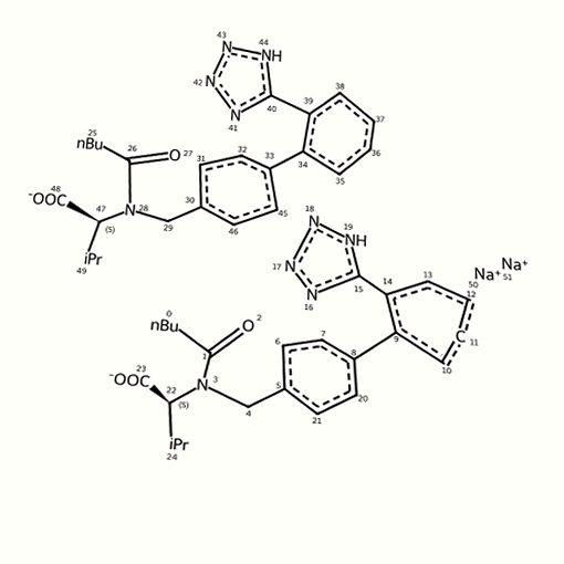 CCCCC(=O)N(Cc1ccc(-c2ccccc2-c2nnn[nH]2)cc1)[C@H](C(=O)[O-])C(C)C.CCCCC(=O)N(Cc1ccc(-c2ccccc2-c2nnn[nH]2)cc1)[C@H](C(=O)[O-])C(C)C.[Na+].[Na+]